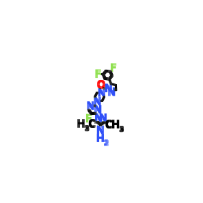 Cc1nn(-c2nc(N3CCN(C(=O)N4N=CCC4c4cc(F)cc(F)c4)CC3)ncc2F)c(C)c1N